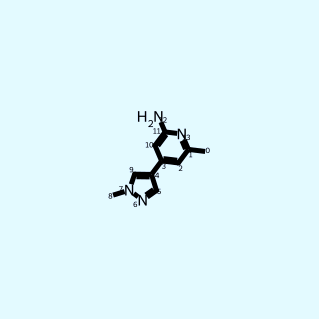 Cc1cc(-c2cnn(C)c2)cc(N)n1